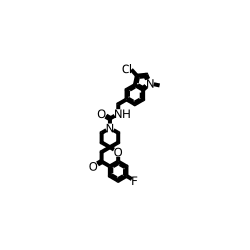 Cn1cc(Cl)c2cc(CNC(=O)N3CCC4(CC3)CC(=O)c3ccc(F)cc3O4)ccc21